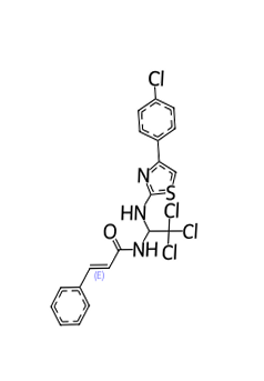 O=C(/C=C/c1ccccc1)NC(Nc1nc(-c2ccc(Cl)cc2)cs1)C(Cl)(Cl)Cl